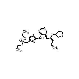 C=C/C=C(\C=C1/CN=CN=C1Nc1nc(CP(=O)(OCC)OCC)cs1)O[C@H]1CCOC1